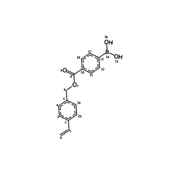 C=Cc1ccc(COC(=O)c2ccc(B(O)O)cc2)cc1